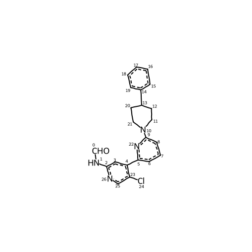 O=CNc1cc(-c2cccc(N3CCC(c4ccccc4)CC3)n2)c(Cl)cn1